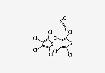 Clc1sc(Cl)c(Cl)c1Cl.Clc1sc(Cl)c(Cl)c1Cl.O=S=O